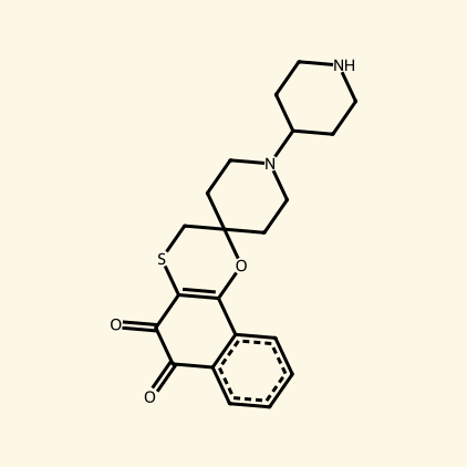 O=C1C(=O)c2ccccc2C2=C1SCC1(CCN(C3CCNCC3)CC1)O2